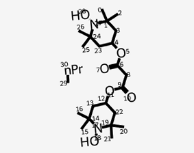 CC1(C)CC(OC(=O)CC(=O)OC2CC(C)(C)N(O)C(C)(C)C2)CC(C)(C)N1O.CCCC